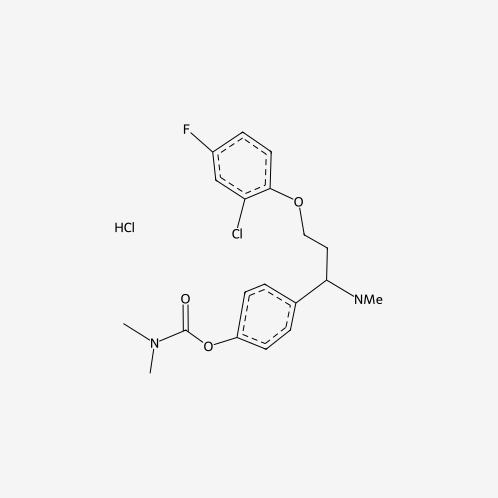 CNC(CCOc1ccc(F)cc1Cl)c1ccc(OC(=O)N(C)C)cc1.Cl